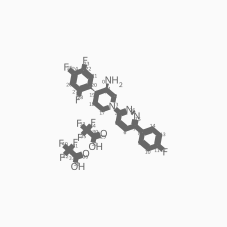 N[C@H]1CN(c2ccc(-c3ccc(F)cc3)nn2)CC[C@@H]1c1cc(F)c(F)cc1F.O=C(O)C(F)(F)F.O=C(O)C(F)(F)F